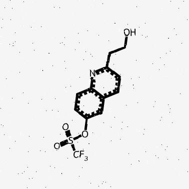 O=S(=O)(Oc1ccc2nc(CCO)ccc2c1)C(F)(F)F